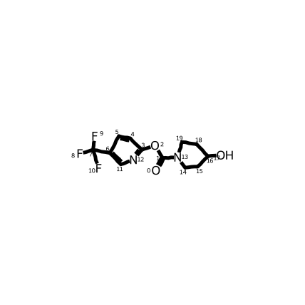 O=C(Oc1ccc(C(F)(F)F)cn1)N1CCC(O)CC1